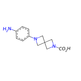 Nc1ccc(N2CC3(CN(C(=O)O)C3)C2)cc1